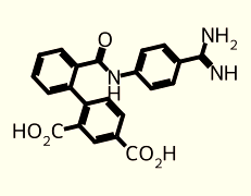 N=C(N)c1ccc(NC(=O)c2ccccc2-c2ccc(C(=O)O)cc2C(=O)O)cc1